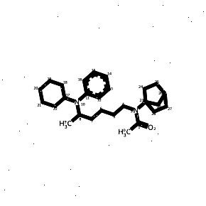 CC(=O)N(CCCCC(C)N(c1ccccc1)C1CCCCC1)C12CCC(CC1)C2